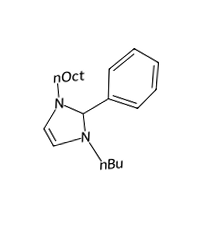 CCCCCCCCN1C=CN(CCCC)C1c1ccccc1